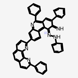 N=C1C(c2ccccc2)=Cc2c(-c3ccccc3)nc3cc(-c4ccc5ccc6ccc(-c7ccccc7)nc6c5n4)ccc3c2/C1=N/Nc1ccccc1